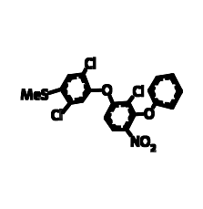 CSc1cc(Cl)c(Oc2ccc([N+](=O)[O-])c(Oc3ccccc3)c2Cl)cc1Cl